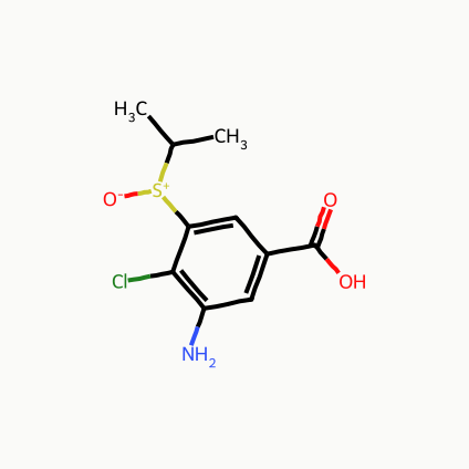 CC(C)[S+]([O-])c1cc(C(=O)O)cc(N)c1Cl